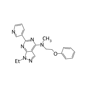 CCn1ncc2c(N(C)CCOc3ccccc3)nc(-c3cccnc3)nc21